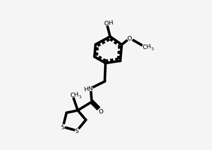 COc1cc(CNC(=O)C2(C)CSSC2)ccc1O